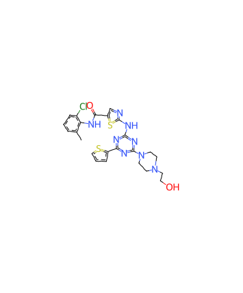 Cc1cccc(Cl)c1NC(=O)c1cnc(Nc2nc(-c3cccs3)nc(N3CCN(CCO)CC3)n2)s1